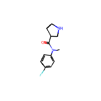 CN(C(=O)C1CCNC1)c1ccc(F)cc1